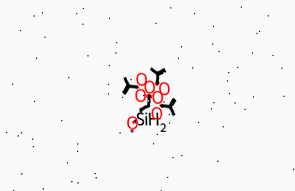 C=C(C)C(=O)OC(CC[SiH2]OC)(OC(=O)C(=C)C)OC(=O)C(=C)C